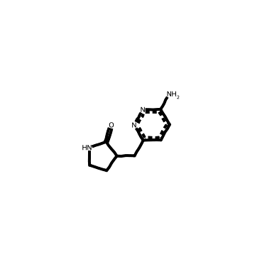 Nc1ccc(CC2CCNC2=O)nn1